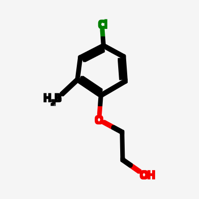 Bc1cc(Cl)ccc1OCCO